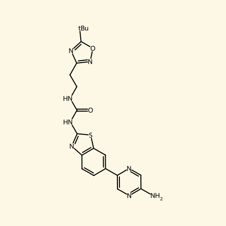 CC(C)(C)c1nc(CCNC(=O)Nc2nc3ccc(-c4cnc(N)cn4)cc3s2)no1